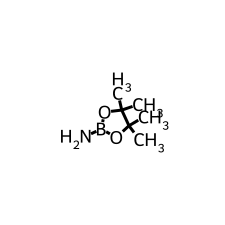 CC1(C)OB(N)OC1(C)C